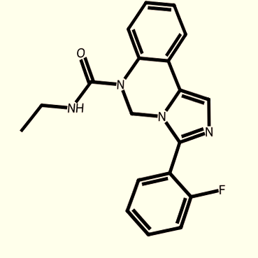 CCNC(=O)N1Cn2c(cnc2-c2ccccc2F)-c2ccccc21